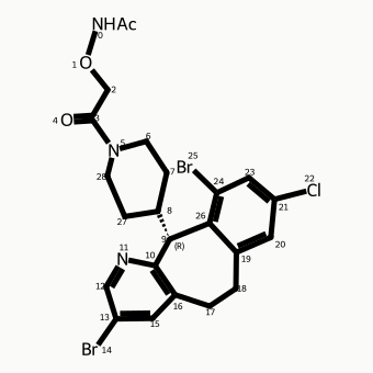 CC(=O)NOCC(=O)N1CCC([C@H]2c3ncc(Br)cc3CCc3cc(Cl)cc(Br)c32)CC1